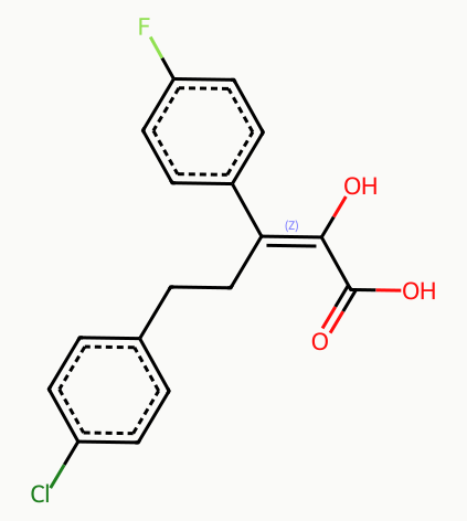 O=C(O)/C(O)=C(\CCc1ccc(Cl)cc1)c1ccc(F)cc1